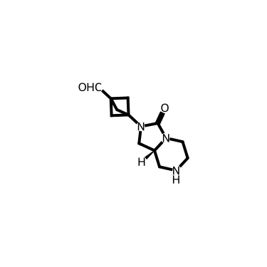 O=CC12CC(N3C[C@H]4CNCCN4C3=O)(C1)C2